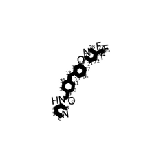 O=C(Nc1cccnc1)C1CCC(=Cc2cccc(Oc3ccc(C(F)(F)F)cn3)c2)CC1